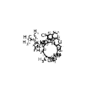 CCN(C(C)C)[C@@H]1C[C@H](C)N(C[C@@]2(OC)/C=C/C[C@H](C)[C@@H](C)S(=O)(=O)NC(=O)c3ccc4c(c3)N(C[C@@H]3CC[C@H]32)C[C@@]2(CCCc3cc(Cl)ccc32)CO4)C1